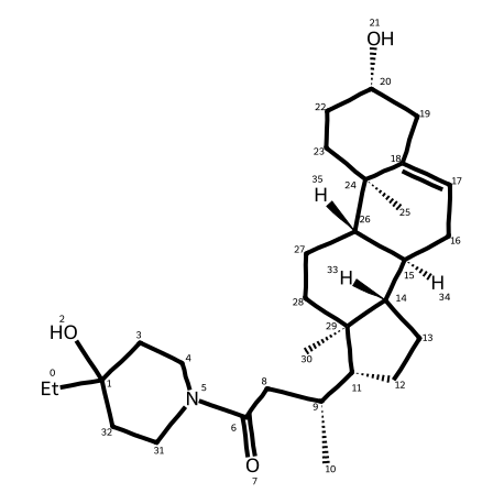 CCC1(O)CCN(C(=O)C[C@@H](C)[C@H]2CC[C@H]3[C@@H]4CC=C5C[C@@H](O)CC[C@]5(C)[C@H]4CC[C@]23C)CC1